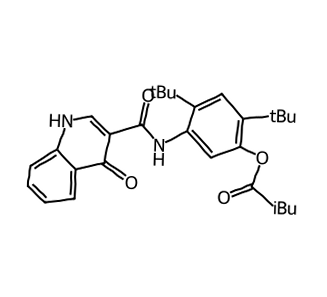 CCC(C)C(=O)Oc1cc(NC(=O)c2c[nH]c3ccccc3c2=O)c(C(C)(C)C)cc1C(C)(C)C